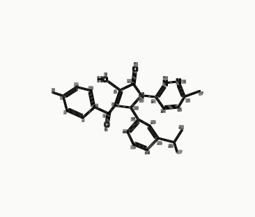 Cc1ccc(C(=O)C2=C(O)C(=O)N(c3ccc(C)nn3)C2c2cccc(C(C)C)c2)cc1